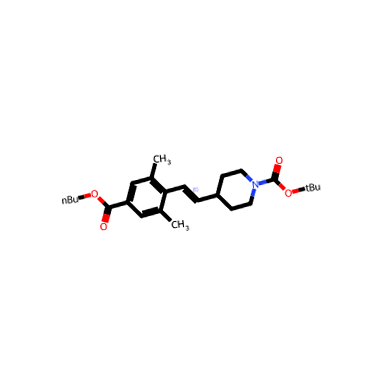 CCCCOC(=O)c1cc(C)c(/C=C/C2CCN(C(=O)OC(C)(C)C)CC2)c(C)c1